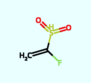 C=C(F)[SH](=O)=O